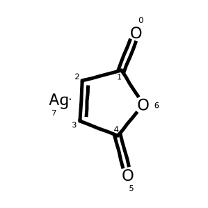 O=C1C=CC(=O)O1.[Ag]